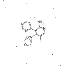 Nc1ncc(F)c(N2CC3CC2CO3)c1-c1ccncn1